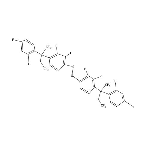 Fc1ccc(C(CC(F)(F)F)(c2ccc(SSc3ccc(C(CC(F)(F)F)(c4ccc(F)cc4F)C(F)(F)F)c(F)c3F)c(F)c2F)C(F)(F)F)c(F)c1